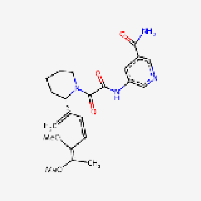 C=C(/C=C\C(OC)=C(/C)OC)[C@@H]1CCCCN1C(=O)C(=O)Nc1cncc(C(N)=O)c1